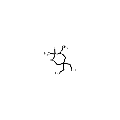 CN1CC(CO)(CO)CN[PH]1(C)I